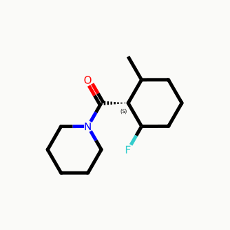 CC1CCCC(F)[C@@H]1C(=O)N1CCCCC1